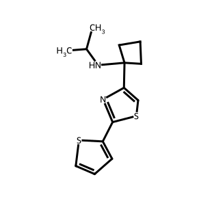 CC(C)NC1(c2csc(-c3cccs3)n2)CCC1